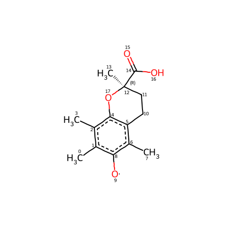 Cc1c(C)c2c(c(C)c1[O])CC[C@](C)(C(=O)O)O2